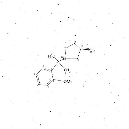 COc1ccccc1C(C)(C)N1CC[C@@H](N)C1